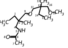 CCC(C)(CNC(C)=O)COCC(C)(CC)COC